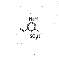 C=Cc1cccc(C)c1S(=O)(=O)O.[NaH]